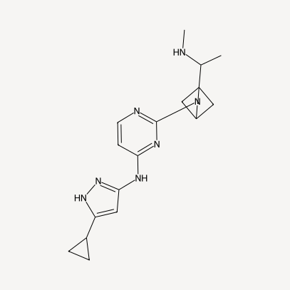 CNC(C)C12CC(C1)N(c1nccc(Nc3cc(C4CC4)[nH]n3)n1)C2